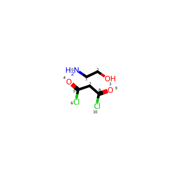 NCCO.O=C(Cl)CC(=O)Cl